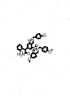 COc1ccc(CN(Cc2ccc(OC)cc2)S(=O)(=O)c2cc(C(C(N)=O)c3ccccc3Cl)cc3nn(Cc4ccc(Cl)cc4)cc23)cc1